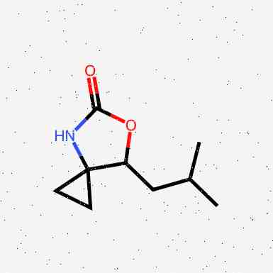 CC(C)CC1OC(=O)NC12CC2